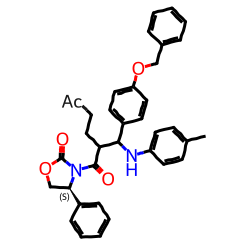 CC(=O)CCC(C(=O)N1C(=O)OC[C@@H]1c1ccccc1)C(Nc1ccc(C)cc1)c1ccc(OCc2ccccc2)cc1